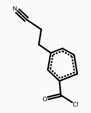 N#CCCc1cccc(C(=O)Cl)c1